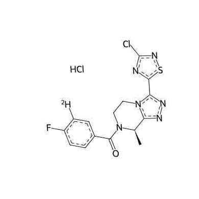 Cl.[2H]c1cc(C(=O)N2CCn3c(-c4nc(Cl)ns4)nnc3[C@H]2C)ccc1F